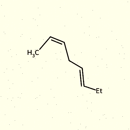 C/C=C\CC=CCC